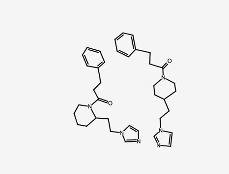 O=C(CCc1ccccc1)N1CCC(CCn2ccnc2)CC1.O=C(CCc1ccccc1)N1CCCCC1CCn1ccnc1